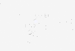 CCOC(=O)/C=C/C(=O)Nc1cc(C)no1